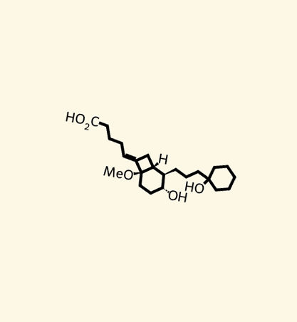 CO[C@]12CC[C@@H](O)[C@H](CCCC3(O)CCCCC3)[C@H]1CC2=CCCCC(=O)O